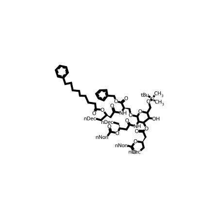 CCCCCCCCCCC[C@H](CC(=O)NC1C(OC[C@@H](NC(=O)C[C@@H](CCCCCCCCCCC)OC(=O)CCCCCCCCc2ccccc2)C(=O)OCc2ccccc2)OC(CO[Si](C)(C)C(C)(C)C)C(O)C1OC(=O)C[C@@H](CCCCCCCCCCC)OC(=O)CCCCCCCCC)OC(=O)CCCCCCCCC